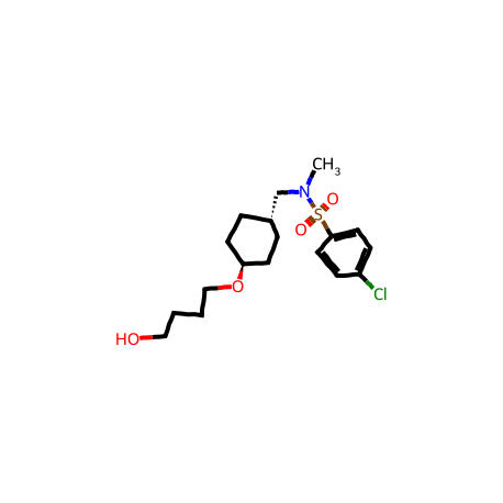 CN(C[C@H]1CC[C@H](OCCCCO)CC1)S(=O)(=O)c1ccc(Cl)cc1